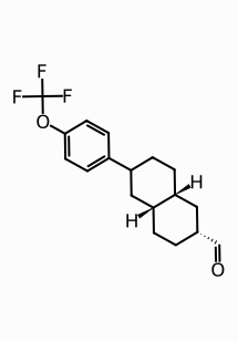 O=C[C@@H]1CC[C@@H]2CC(c3ccc(OC(F)(F)F)cc3)CC[C@@H]2C1